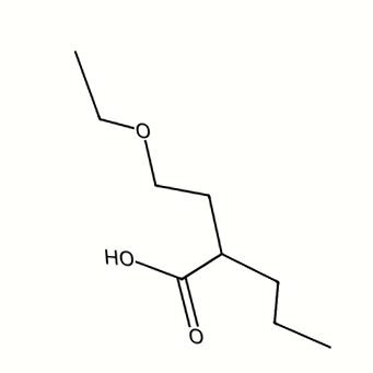 CCCC(CCOCC)C(=O)O